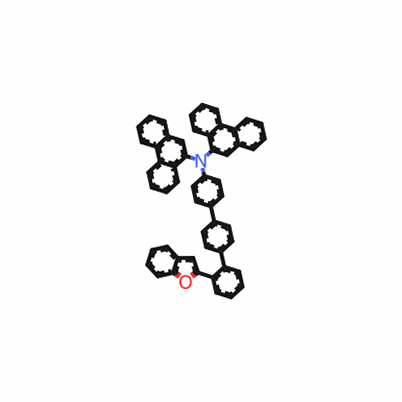 c1ccc(-c2cc3ccccc3o2)c(-c2ccc(-c3ccc(N(c4cc5ccccc5c5ccccc45)c4cc5ccccc5c5ccccc45)cc3)cc2)c1